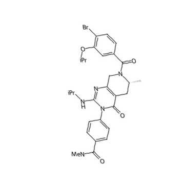 CNC(=O)c1ccc(-n2c(NC(C)C)nc3c(c2=O)C[C@@H](C)N(C(=O)c2ccc(Br)c(OC(C)C)c2)C3)cc1